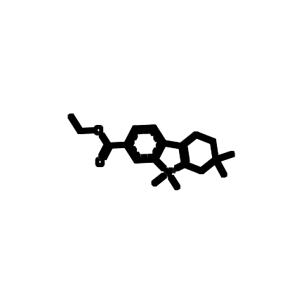 CCOC(=O)c1ccc2c(c1)[N+](C)(C)C1=C2CCC(C)(C)C1